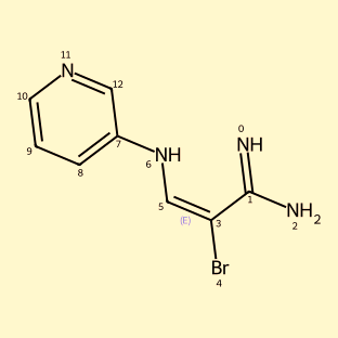 N=C(N)/C(Br)=C\Nc1cccnc1